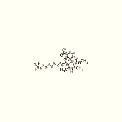 COC(=O)C1=C(C)NC(C)=C(C(=O)OCCCCCCCCC(F)(F)F)C1c1cccc([N+](=O)[O-])c1